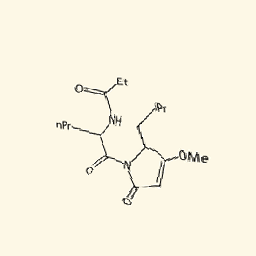 CCCC(NC(=O)CC)C(=O)N1C(=O)C=C(OC)C1CC(C)C